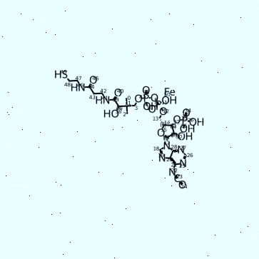 CC(C)(COP(=O)(O)OP(=O)(O)OC[C@H]1O[C@@H](n2cnc3c(N=C=O)ncnc32)[C@H](O)[C@@H]1OP(=O)(O)O)[C@@H](O)C(=O)NCCC(=O)NCCS.[Fe]